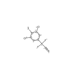 N#CC(F)(F)c1cc(Cl)c(F)c(Cl)c1